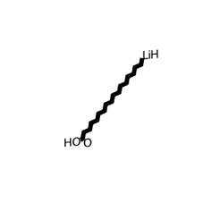 CCCCCCCCCCCCCCCCCC(=O)O.[LiH]